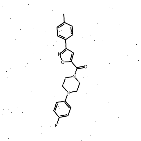 Cc1ccc(-c2cc(C(=O)N3CCN(c4ccc(F)cc4)CC3)on2)cc1